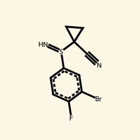 N#CC1(S(=N)c2ccc(F)c(Br)c2)CC1